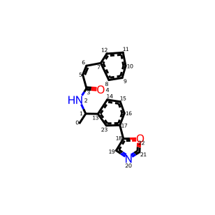 CC(NC(=O)/C=C\c1ccccc1)c1cccc(-c2cnco2)c1